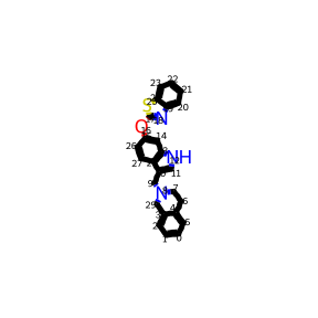 c1ccc2c(c1)CCN(Cc1c[nH]c3cc(Oc4nc5ccccc5s4)ccc13)C2